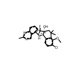 COc1c(Cl)ccc2c1C(C)(C)C[C@](O)(C(F)(F)F)[C@@H]2Nc1cccc2nc(C)ncc12